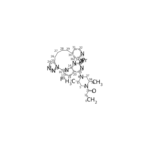 C=CC(=O)N1CC(C)N(c2nc(=O)n3c4nc(c(F)cc24)-n2nncc2CCCCc2ccnc(C(C)C)c2-3)CC1C